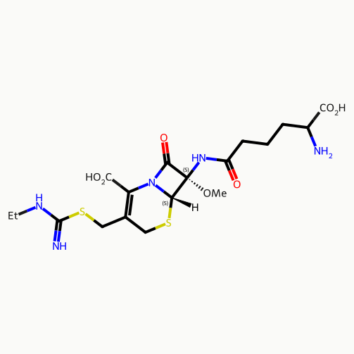 CCNC(=N)SCC1=C(C(=O)O)N2C(=O)[C@](NC(=O)CCCC(N)C(=O)O)(OC)[C@@H]2SC1